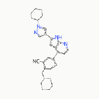 N#Cc1cc(-c2ccnc3[nH]c(-c4cnn(C5CCCCC5)c4)cc23)ccc1CC1CCCCC1